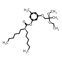 CCCCCCN(CCCCCC)C(=O)Oc1cc(C)cc(OCC(C)(OC)OCC)c1